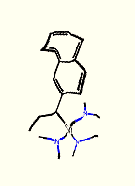 CC[CH](c1ccc2ccccc2c1)[Sn]([N](C)C)([N](C)C)[N](C)C